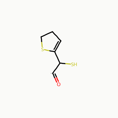 O=[C]C(S)C1=CCCS1